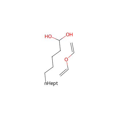 C=COC=C.CCCCCCCCCCCC(O)O